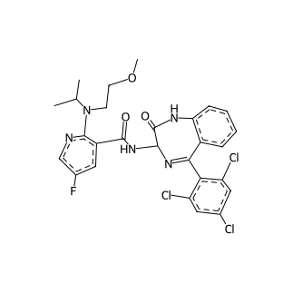 COCCN(c1ncc(F)cc1C(=O)NC1N=C(c2c(Cl)cc(Cl)cc2Cl)c2ccccc2NC1=O)C(C)C